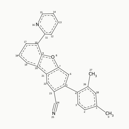 Cc1ccc(-c2cc3oc4c(-c5ccccn5)cccc4c3cc2C#N)c(C)c1